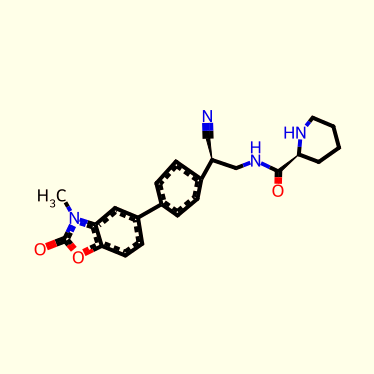 Cn1c(=O)oc2ccc(-c3ccc([C@@H](C#N)CNC(=O)[C@@H]4CCCCN4)cc3)cc21